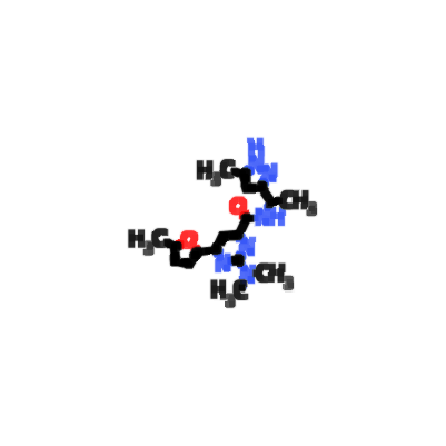 Cc1cc(C(C)NC(=O)c2cc(-c3ccc(C)o3)nc(N(C)C)n2)n[nH]1